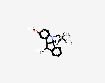 COc1ccc2c(c1)C1C(C)c3ccccc3C1N2C[Si](C)(C)C